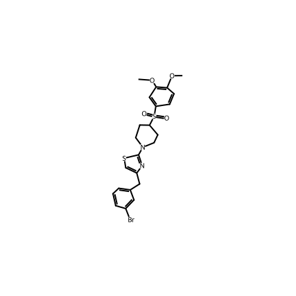 COc1ccc(S(=O)(=O)C2CCN(c3nc(Cc4cccc(Br)c4)cs3)CC2)cc1OC